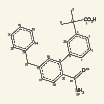 CC(C)(C(=O)O)c1cccc(-c2cc(Cc3ccccc3)ccc2C(N)=O)c1